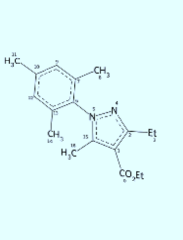 CCOC(=O)c1c(CC)nn(-c2c(C)cc(C)cc2C)c1C